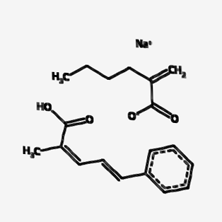 C=C(CCCC)C(=O)[O-].CC(=CC=Cc1ccccc1)C(=O)O.[Na+]